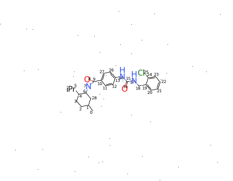 CC1CCC(C(C)C)C(N2OC2c2ccc(NC(=O)NCc3ccccc3Cl)cc2)C1